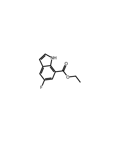 CCOC(=O)c1cc(F)cc2cc[nH]c12